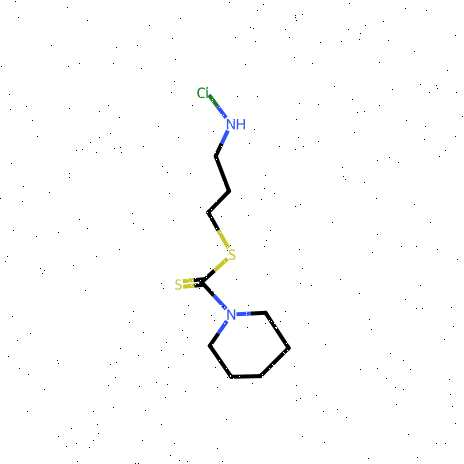 S=C(SCCCNCl)N1CCCCC1